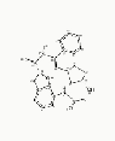 CC(=O)Nc1cccc2c1O[C@@H](C(=O)N(C)[C@H](CN1CC[C@H](O)C1)c1ccccc1)C2